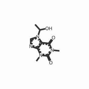 CC(O)n1cnc2c1c(=O)n(C)c(=O)n2C